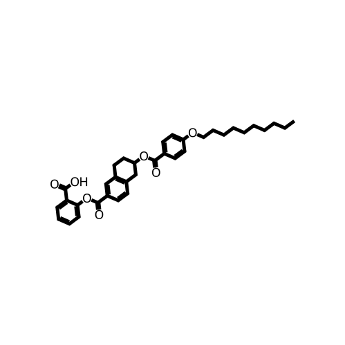 CCCCCCCCCCOc1ccc(C(=O)OC2CCc3cc(C(=O)Oc4ccccc4C(=O)O)ccc3C2)cc1